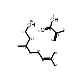 C=C(C)C(=O)O.CC(C)=CCCC(C)CCO